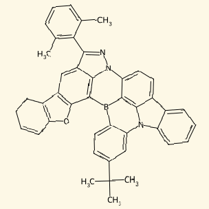 Cc1cccc(C)c1-c1nn2c3c(c4oc5c(c4cc13)CCC=C5)B1c3ccc(C(C)(C)C)cc3-n3c4ccccc4c4ccc-2c1c43